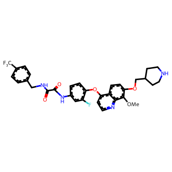 COc1c(OCC2CCNCC2)ccc2c(Oc3ccc(NC(=O)C(=O)NCc4ccc(C(F)(F)F)cc4)cc3F)ccnc12